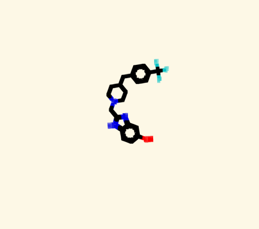 Oc1ccc2[nH]c(CN3CCC(Cc4ccc(C(F)(F)F)cc4)CC3)nc2c1